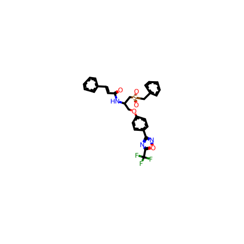 O=C(C=Cc1ccccc1)NC(COc1ccc(-c2noc(C(F)(F)F)n2)cc1)CS(=O)(=O)Cc1ccccc1